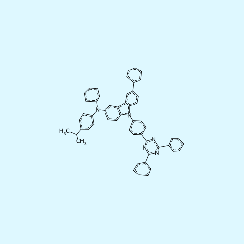 CC(C)c1ccc(N(c2ccccc2)c2ccc3c(c2)c2cc(-c4ccccc4)ccc2n3-c2ccc(-c3nc(-c4ccccc4)nc(-c4ccccc4)n3)cc2)cc1